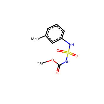 COc1cccc(NS(=O)(=O)NC(=O)OC(C)(C)C)c1